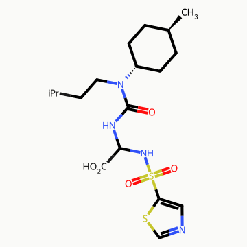 CC(C)CCN(C(=O)NC(NS(=O)(=O)c1cncs1)C(=O)O)[C@H]1CC[C@H](C)CC1